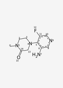 CN1CCN(c2c(N)cncc2F)CC1=O